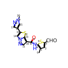 Cc1cc(C=O)sc1NC(=O)c1cnn2cc(-c3cnn(C)c3)sc12